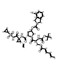 C=C[C@@H]1C[C@]1(NC(=O)[C@@H]1CC(OC(=O)N2Cc3cccc(F)c3C2)CN1C(=O)[C@H](COC(=O)/C=C/C=C/C)NC(=O)OC(C)(C)C)C(=O)NS(=O)(=O)C1CC1